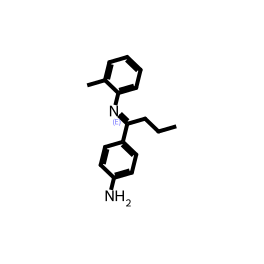 CCC/C(=N\c1ccccc1C)c1ccc(N)cc1